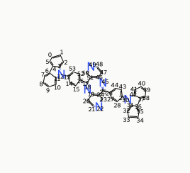 c1ccc2c(c1)c1ccccc1n2-c1ccc(/C2=N/c3ccncc3/C(c3ccc(-n4c5ccccc5c5ccccc54)cc3)=N\c3ccncc32)cc1